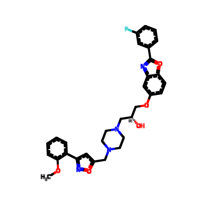 COc1ccccc1-c1cc(CN2CCN(C[C@@H](O)COc3ccc4oc(-c5cccc(F)c5)nc4c3)CC2)on1